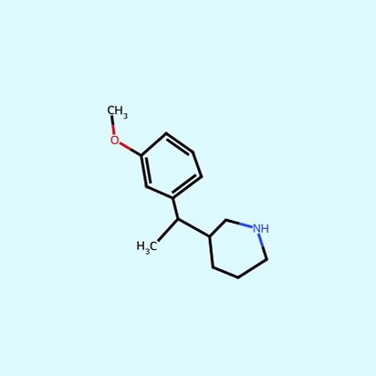 COc1cccc(C(C)C2CCCNC2)c1